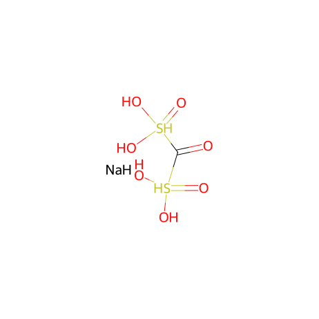 O=C([SH](=O)(O)O)[SH](=O)(O)O.[NaH]